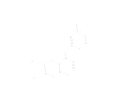 COc1cc2nccc(Oc3ccc(C)c(C)c3)c2cc1OC